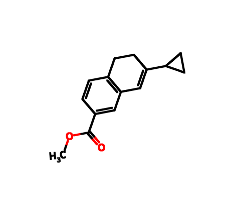 COC(=O)c1ccc2c(c1)C=C(C1CC1)CC2